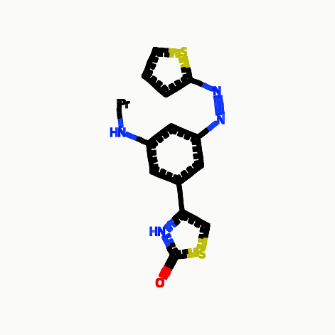 CC(C)Nc1cc(/N=N\c2cccs2)cc(-c2csc(=O)[nH]2)c1